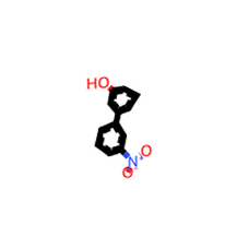 O=[N+]([O-])c1cccc(-c2cccc(O)c2)c1